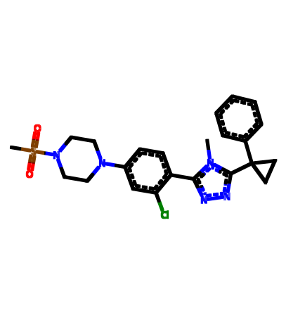 Cn1c(-c2ccc(N3CCN(S(C)(=O)=O)CC3)cc2Cl)nnc1C1(c2ccccc2)CC1